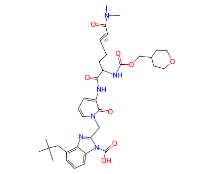 CN(C)C(=O)/C=C/CCC(NC(=O)OCC1CCOCC1)C(=O)Nc1cccn(Cc2nc3c(CC(C)(C)C)cccc3n2C(=O)O)c1=O